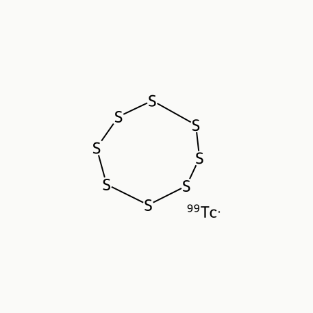 S1SSSSSSS1.[99Tc]